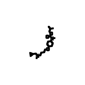 CC(C)COC(=O)N(C)C1CCC(OCCCCN(C)CC2CC2)CC1